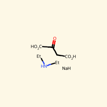 CCNCC.O=C(O)CC(=O)C(=O)O.[NaH]